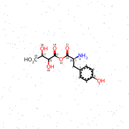 N[C@@H](Cc1ccc(O)cc1)C(=O)OC(=O)C(O)C(O)C(=O)O